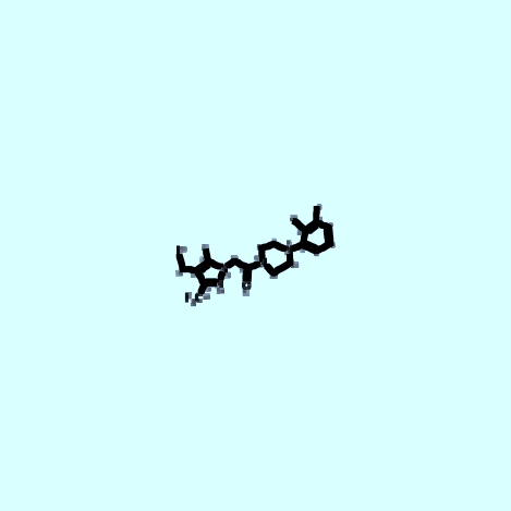 Cc1cccc(N2CCN(C(=O)Cn3nc(C(F)(F)F)c(CI)c3C)CC2)c1C